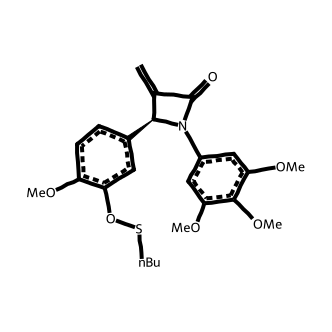 C=C1C(=O)N(c2cc(OC)c(OC)c(OC)c2)[C@H]1c1ccc(OC)c(OSCCCC)c1